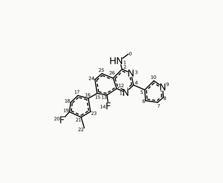 CNc1nc(-c2cccnc2)nc2c(F)c(-c3ccc(F)c(C)c3)ccc12